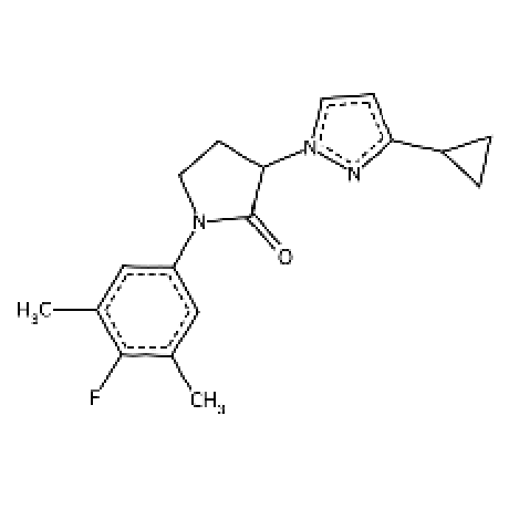 Cc1cc(N2CCC(n3ccc(C4CC4)n3)C2=O)cc(C)c1F